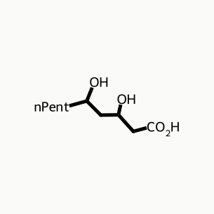 CCCCCC(O)CC(O)CC(=O)O